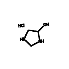 Cl.OC1CNCN1